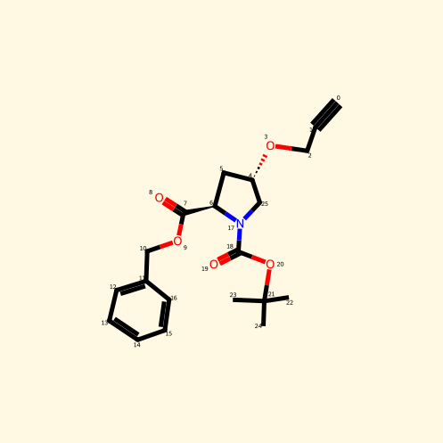 C#CCO[C@H]1C[C@H](C(=O)OCc2ccccc2)N(C(=O)OC(C)(C)C)C1